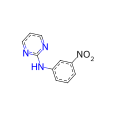 O=[N+]([O-])c1cccc(Nc2ncccn2)c1